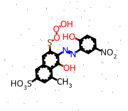 Cc1cc(S(=O)(=O)O)cc2cc(SOOO)c(N=Nc3cc([N+](=O)[O-])ccc3O)c(O)c12